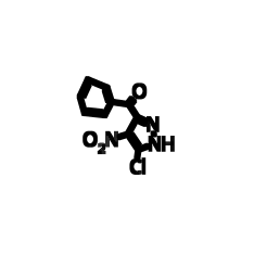 O=C(c1ccccc1)c1n[nH]c(Cl)c1[N+](=O)[O-]